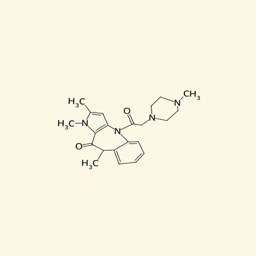 Cc1cc2c(n1C)C(=O)C(C)c1ccccc1N2C(=O)CN1CCN(C)CC1